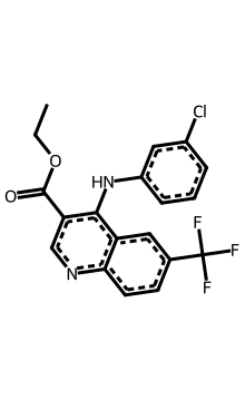 CCOC(=O)c1cnc2ccc(C(F)(F)F)cc2c1Nc1cccc(Cl)c1